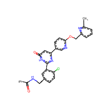 Cc1cccc(COc2ccc(-c3cc(=O)[nH]c(-c4cc(CNC(=O)C(C)C)ccc4Cl)n3)cn2)n1